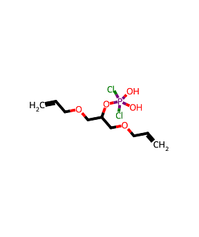 C=CCOCC(COCC=C)OP(O)(O)(Cl)Cl